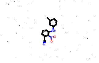 Cc1cccc(Nc2cccc(C#N)c2[N+](=O)[O-])c1